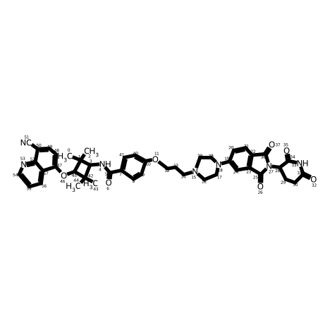 CC1(C)C(NC(=O)c2ccc(OCCCN3CCN(c4ccc5c(c4)C(=O)N(C4CCC(=O)NC4=O)C5=O)CC3)cc2)C(C)(C)C1Oc1ccc(C#N)c2ncccc12